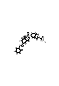 O=C(N1Cc2ccc(S(=O)(=O)Nc3ccc(OCc4ccccc4)cc3F)cc2C1)C(F)(F)F